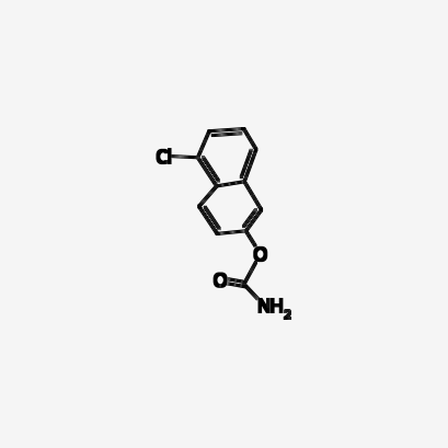 NC(=O)Oc1ccc2c(Cl)cccc2c1